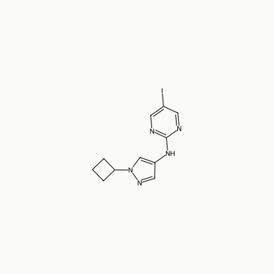 Ic1cnc(Nc2cnn(C3CCC3)c2)nc1